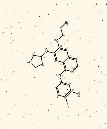 Fc1ccc(Nc2ncnc3cc(OCCBr)c(OC4CCOC4)cc23)cc1Cl